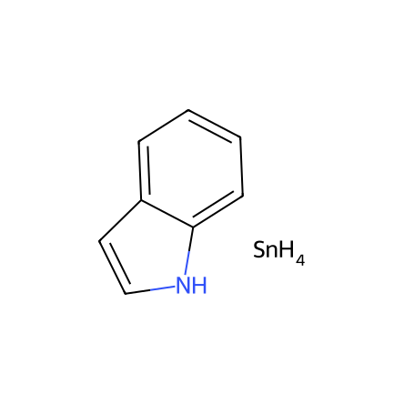 [SnH4].c1ccc2[nH]ccc2c1